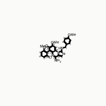 COc1ccc(CNc2ncc3c(N)nc4c(-c5c(C)cccc5Cl)c(OC)c(OC)cc4n23)cc1